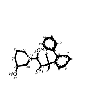 CC(C)(c1ccccc1-c1ccccc1)C(O)C(O)N1CCCC(O)C1